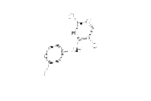 Clc1ncc(Cl)c(Nc2cccc(I)c2)n1